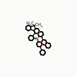 CC1(C)c2ccccc2-c2c(-c3ccccc3N(c3ccc(-c4ccccc4)cc3)c3ccccc3-c3ccc4ccccc4c3)cccc21